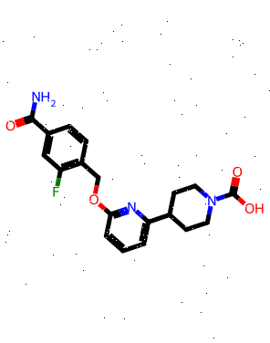 NC(=O)c1ccc(COc2cccc(C3CCN(C(=O)O)CC3)n2)c(F)c1